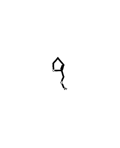 CC(C)OCC1=CCCO1